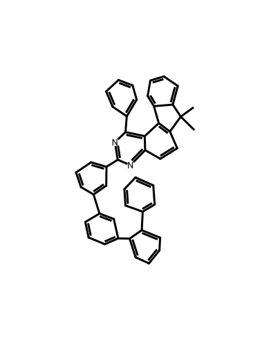 CC1(C)c2ccccc2-c2c1ccc1nc(-c3cccc(-c4cccc(-c5ccccc5-c5ccccc5)c4)c3)nc(-c3ccccc3)c21